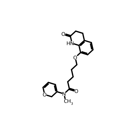 CN(C(=O)CCCCOc1cccc2c1NC(=O)CC2)C1=CC=COC1